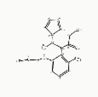 Cc1cccc(OCCF)c1N(C(=O)CCl)C(C)n1cccn1